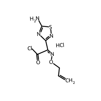 C=CCON=C(C(=O)Cl)c1nsc(N)n1.Cl